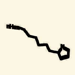 CCCCCCCCCCCCC1C=CC=N1